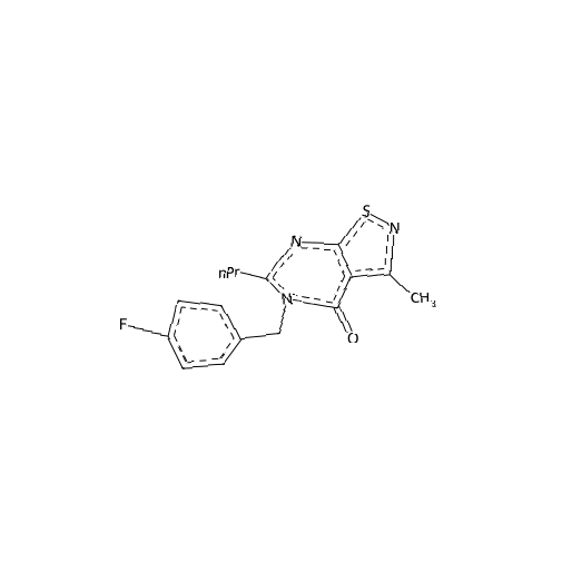 CCCc1nc2snc(C)c2c(=O)n1Cc1ccc(F)cc1